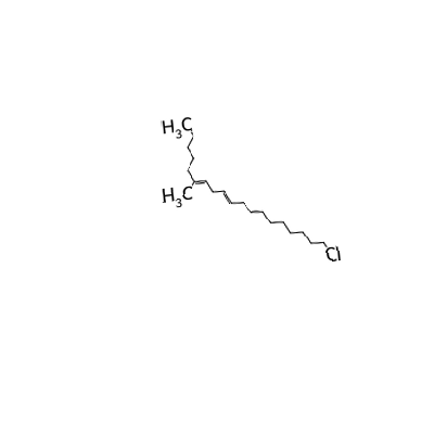 CCCCCC(C)=CCC=CCC=CCCCCCCCl